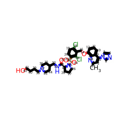 Cc1cc(-n2ccnc2)c2cccc(OCc3c(Cl)ccc(S(=O)(=O)N4CCC[C@H]4C(=O)NCC4CCN(CCCCO)CC4)c3Cl)c2n1